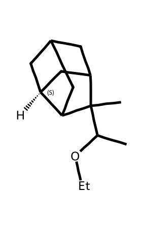 CCOC(C)C1(C)C2CC3CC1[C@@H](C3)C2